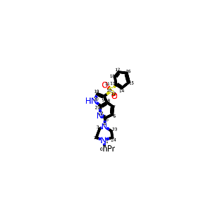 CCCN1CCN(c2ccc3c(S(=O)(=O)c4ccccc4)c[nH]c3n2)CC1